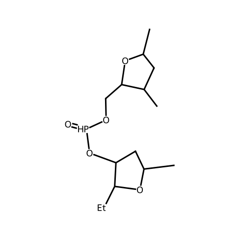 CCC1OC(C)CC1O[PH](=O)OCC1OC(C)CC1C